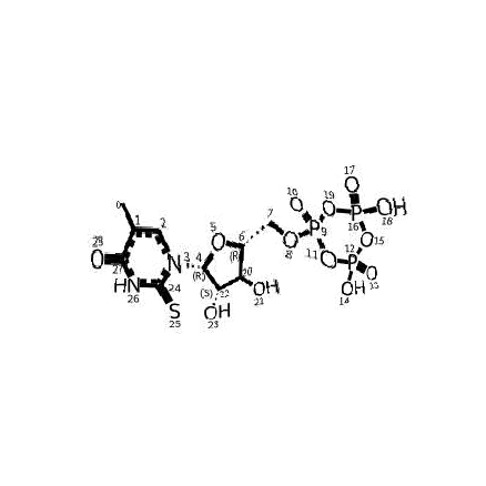 Cc1cn([C@@H]2O[C@H](COP3(=O)OP(=O)(O)OP(=O)(O)O3)C(O)[C@@H]2O)c(=S)[nH]c1=O